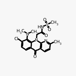 Cc1ccc2c(=O)c3ccc(Cl)c(N(C)C)c3n(CC(=O)NS(C)(=O)=O)c2n1